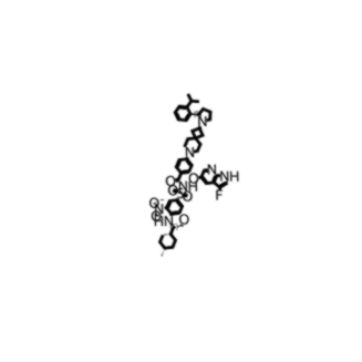 CC(C)c1ccccc1[C@H]1CCCN1C1CC2(CCN(c3ccc(C(=O)NS(=O)(=O)c4cc5c(c([N+](=O)[O-])c4)N[C@@H]([C@H]4CC[C@@H](C)CC4)CO5)c(Oc4cnc5[nH]cc(F)c5c4)c3)CC2)C1